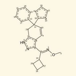 CON=C(c1n[nH]c2c1C=CC(c1ccccc1)(c1cccs1)C2)C1CCC1